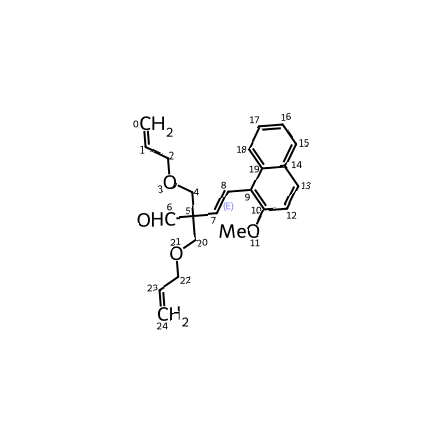 C=CCOCC(C=O)(/C=C/c1c(OC)ccc2ccccc12)COCC=C